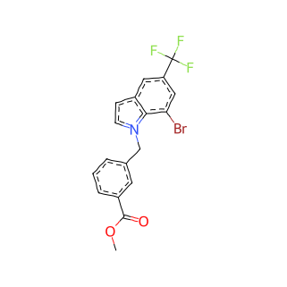 COC(=O)c1cccc(Cn2ccc3cc(C(F)(F)F)cc(Br)c32)c1